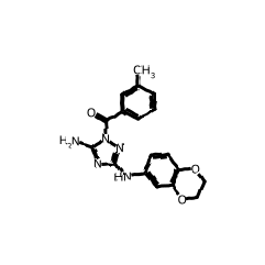 Cc1cccc(C(=O)n2nc(Nc3ccc4c(c3)OCCO4)nc2N)c1